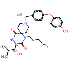 CCCCN1C(=O)[C@@H]([C@H](O)C(C)C)NC(=O)C12CCN(Cc1ccc(Oc3ccc(O)cc3)cc1)CC2.Cl